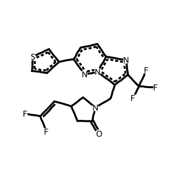 O=C1CC(C=C(F)F)CN1Cc1c(C(F)(F)F)nc2ccc(-c3ccsc3)nn12